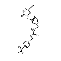 CC(C)O[C@@H](Cc1cccc(CNC(=O)OCc2ccc(C(F)(F)F)cc2)c1)C(=O)O